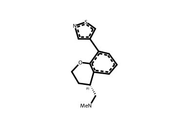 CNC[C@@H]1CCOc2c(-c3cnsc3)cccc21